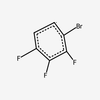 Fc1c[c]c(Br)c(F)c1F